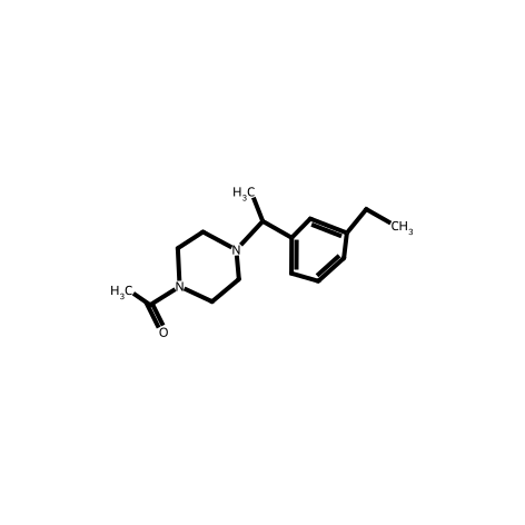 CCc1cccc(C(C)N2CCN(C(C)=O)CC2)c1